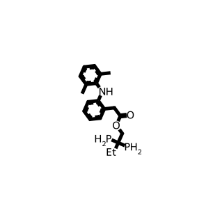 CCC(P)(P)COC(=O)Cc1ccccc1Nc1c(C)cccc1C